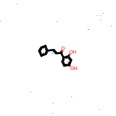 O=C(/C=C/c1ccccc1)c1ccc(O)cc1O